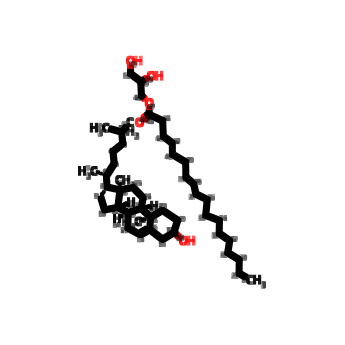 CC(C)CCC[C@@H](C)[C@H]1CC[C@H]2[C@@H]3CC=C4CC(O)CC[C@]4(C)[C@H]3CC[C@]12C.CCCCCCCCCCCCCCCCCC(=O)OCC(O)CO